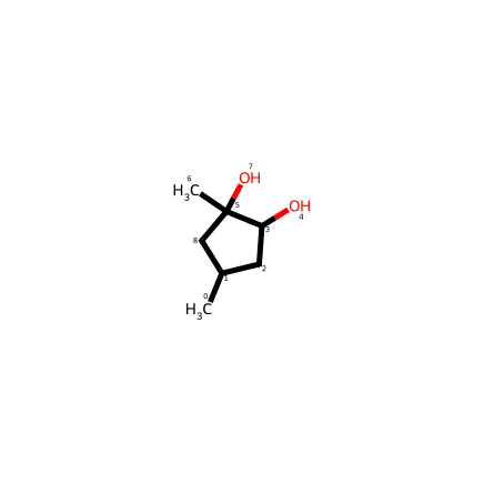 CC1CC(O)C(C)(O)C1